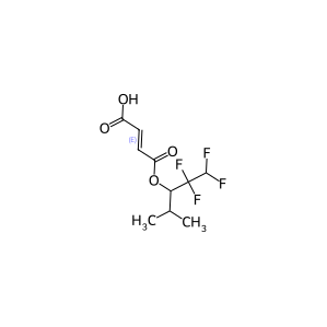 CC(C)C(OC(=O)/C=C/C(=O)O)C(F)(F)C(F)F